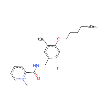 CCCCCCCCCCCCCCOc1ccc(CNC(=O)c2cccc[n+]2C)cc1C(C)(C)C.[I-]